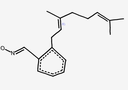 CC(C)=CCC/C(C)=C/Cc1ccccc1C=NO